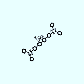 CC1(C)Oc2cc(-c3ccc(-c4nc(-c5ccccc5)nc(-c5ccccc5)n4)cc3)ccc2-c2ccc(-c3ccc(-c4nc(-c5ccccc5)nc(-c5ccccc5)n4)cc3)cc21